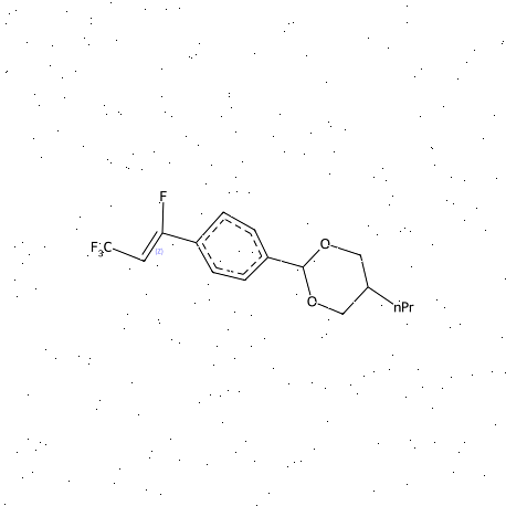 CCCC1COC(c2ccc(/C(F)=C/C(F)(F)F)cc2)OC1